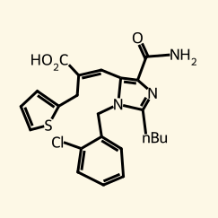 CCCCc1nc(C(N)=O)c(/C=C(\Cc2cccs2)C(=O)O)n1Cc1ccccc1Cl